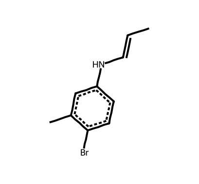 CC=CNc1ccc(Br)c(C)c1